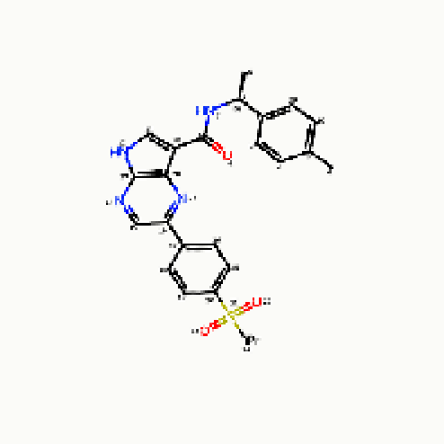 Cc1ccc([C@H](C)NC(=O)c2c[nH]c3ncc(-c4ccc(S(=O)(=O)C(C)C)cc4)nc23)cc1